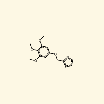 COc1cc(OCc2n[c]cs2)cc(OC)c1OC